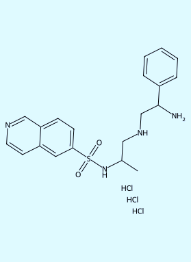 CC(CNCC(N)c1ccccc1)NS(=O)(=O)c1ccc2cnccc2c1.Cl.Cl.Cl